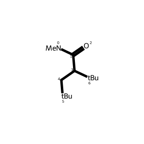 CNC(=O)C(CC(C)(C)C)C(C)(C)C